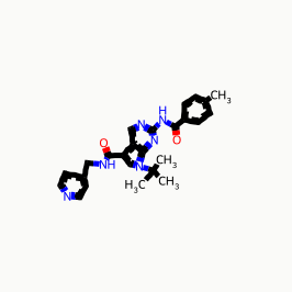 Cc1ccc(C(=O)Nc2ncc3c(C(=O)NCc4ccncc4)cn(C(C)(C)C)c3n2)cc1